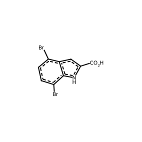 O=C(O)c1cc2c(Br)ccc(Br)c2[nH]1